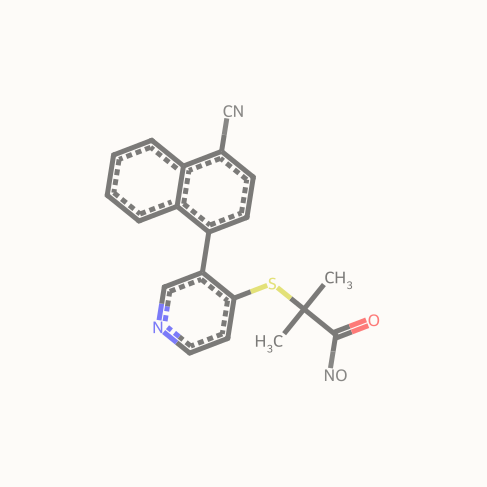 CC(C)(Sc1ccncc1-c1ccc(C#N)c2ccccc12)C(=O)N=O